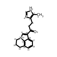 Cc1[nH]cnc1CCC(=O)c1cn2c3c(cccc13)CCC2